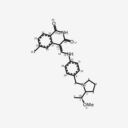 CO[C@@H](C)C1CCCN1Cc1ccc(N/C=C2\C(=O)NC(=O)c3ccc(I)cc32)cc1